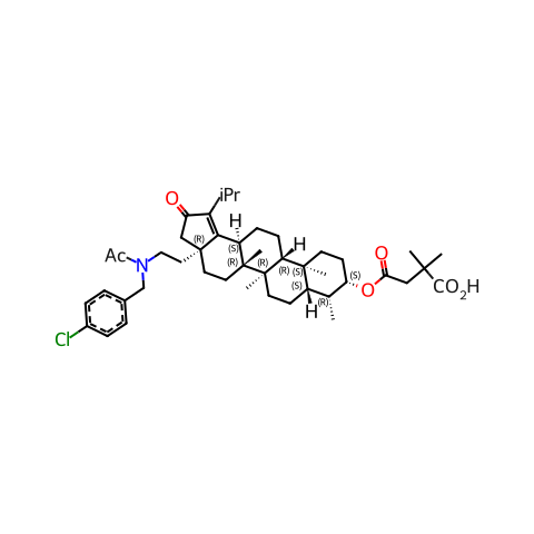 CC(=O)N(CC[C@@]12CC[C@]3(C)[C@H](CC[C@@H]4[C@@]5(C)CC[C@H](OC(=O)CC(C)(C)C(=O)O)[C@H](C)[C@@H]5CC[C@]43C)C1=C(C(C)C)C(=O)C2)Cc1ccc(Cl)cc1